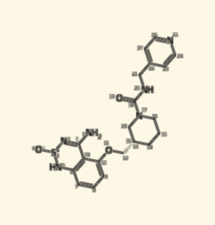 NC1=N[S+]([O-])Nc2cccc(OC[C@H]3CCCN(C(=O)NCc4ccncc4)C3)c21